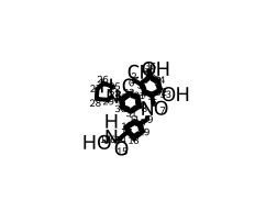 CC(C)c1cc(C(=O)N(Cc2ccc(C(=O)NO)cc2)c2ccc(N3CCCCC3)cc2)c(O)cc1O